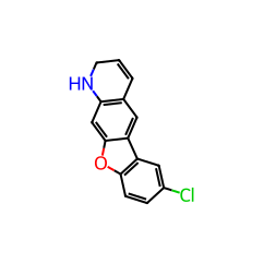 Clc1ccc2oc3cc4c(cc3c2c1)C=CCN4